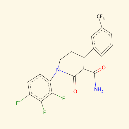 NC(=O)C1C(=O)N(c2ccc(F)c(F)c2F)CCC1c1cccc(C(F)(F)F)c1